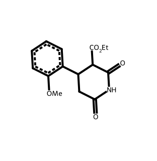 CCOC(=O)C1C(=O)NC(=O)CC1c1ccccc1OC